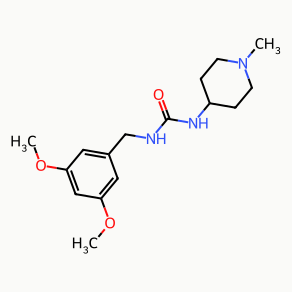 COc1cc(CNC(=O)NC2CCN(C)CC2)cc(OC)c1